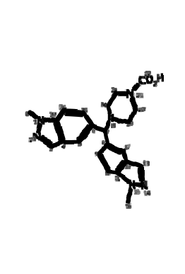 Cn1ncc2cc(C(c3ccc4c(cnn4C)c3)N3CCN(C(=O)O)CC3)ccc21